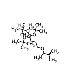 C=C(C)C(N)OCCC[Si](OC(C)(C)C)(OC(C)(C)C)OC(C)(C)C